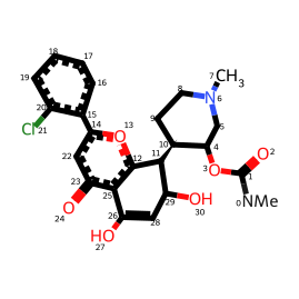 CNC(=O)OC1CN(C)CC[C@@H]1C1c2oc(-c3ccccc3Cl)cc(=O)c2C(O)=CC1O